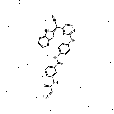 C=CC(=O)Nc1cccc(C(=O)Nc2ccc(Nc3nccc(/C(C#N)=C4/Nc5ccccc5S4)n3)cc2)c1